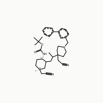 CC(CC1C[C@@](C)(CC#N)CC[C@@H]1NC(=O)OC(C)(C)C)C1(CC#N)CCN(Cc2cccc(-c3ccccc3)c2)CC1